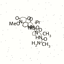 CON1C(=O)CCC(=O)c2c1ccc([N+](=O)[O-])c2C(=O)[C@@H](NC(=O)[C@@H]1CCCN1C(=O)[C@H](C)NC(=O)[C@H](C)N)C(C)C